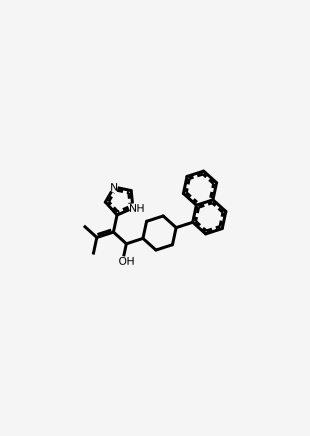 CC(C)=C(c1cnc[nH]1)C(O)C1CCC(c2cccc3ccccc23)CC1